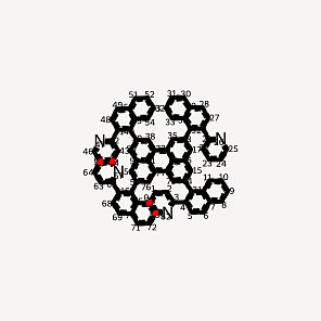 c1ccc(-c2ccc3ccccc3c2-c2cc3cc(-c4c(-c5ccccn5)ccc5ccccc45)cc4c5cc(-c6c(-c7ccccn7)ccc7ccccc67)cc6cc(-c7c(-c8ccccn8)ccc8ccccc78)cc(c(c2)c34)c65)nc1